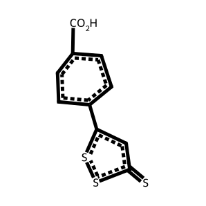 O=C(O)c1ccc(-c2cc(=S)ss2)cc1